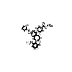 CN1CCC[C@H]1COc1nc2c(c(N3CCN(C(=O)OC(C)(C)C)CC3)n1)CCCN(c1c(N)cccc1F)C2